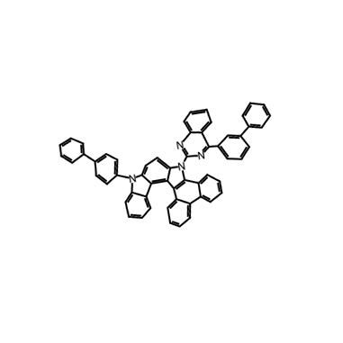 c1ccc(-c2ccc(-n3c4ccccc4c4c5c6c7ccccc7c7ccccc7c6n(-c6nc(-c7cccc(-c8ccccc8)c7)c7ccccc7n6)c5ccc43)cc2)cc1